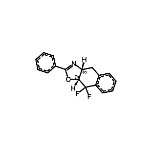 FC1(F)c2ccccc2C[C@H]2N=C(c3ccccc3)O[C@H]21